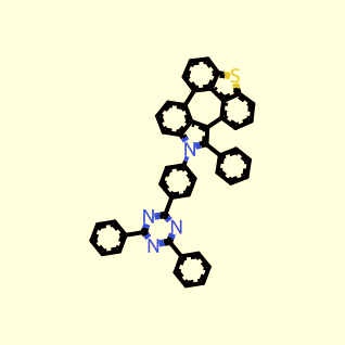 c1ccc(-c2nc(-c3ccccc3)nc(-c3ccc(-n4c(-c5ccccc5)c5c6c(cccc64)-c4cccc6sc7cccc-5c7c46)cc3)n2)cc1